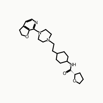 O=C(NC1CCC(CCN2CCN(c3nccc4c3OCC4)CC2)CC1)[C@@H]1CCCO1